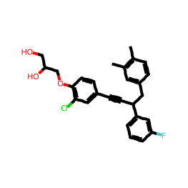 Cc1ccc(CC(C#Cc2ccc(OCC(O)CO)c(Cl)c2)c2cccc(F)c2)cc1C